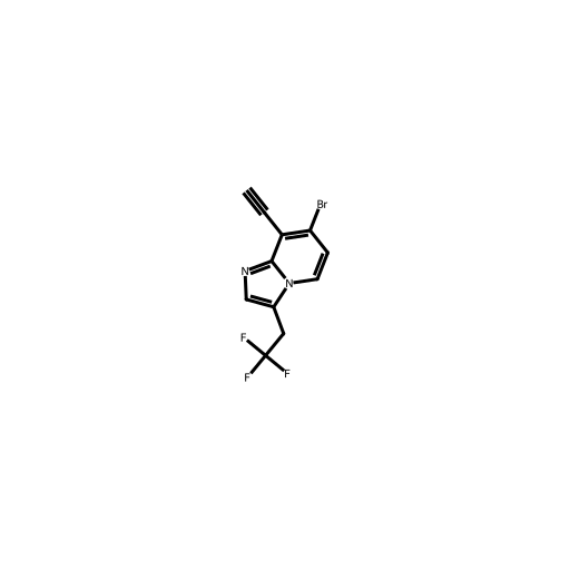 C#Cc1c(Br)ccn2c(CC(F)(F)F)cnc12